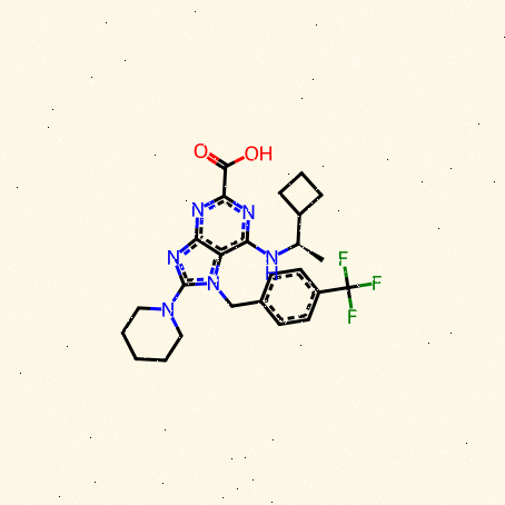 C[C@@H](Nc1nc(C(=O)O)nc2nc(N3CCCCC3)n(Cc3ccc(C(F)(F)F)cc3)c12)C1CCC1